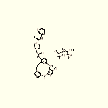 O=C(CC1CCN(C(=O)Nc2cccnc2)CC1)Nc1ccc2cc1CCc1cncc(c1)Nc1ncc(Cl)c(n1)N2.O=C(O)C(F)(F)F.O=C(O)C(F)(F)F